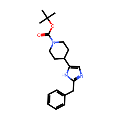 CC(C)(C)OC(=O)N1CCC(c2cnc(Cc3ccccc3)[nH]2)CC1